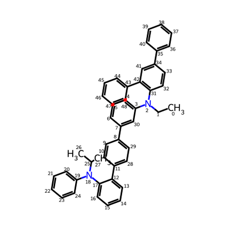 CCN(c1cccc(-c2ccc(-c3ccccc3N(c3ccccc3)C(C)C)cc2)c1)c1ccc(-c2ccccc2)cc1-c1ccccc1